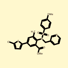 COC(=O)c1cc(-c2ccc(Cl)s2)cc(C)c1N(Cc1cccnc1)S(=O)(=O)c1ccc(OC)cc1